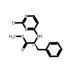 COC(=O)[C@H](Cc1ccccc1)Nc1ccnc(Cl)n1